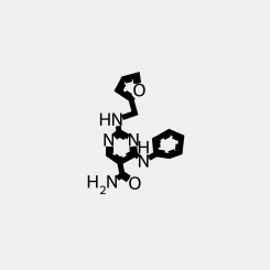 NC(=O)c1cnc(NCc2ccco2)nc1Nc1ccccc1